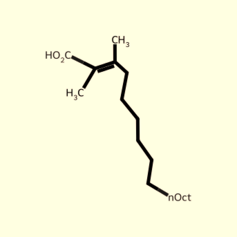 CCCCCCCCCCCCCCC(C)=C(C)C(=O)O